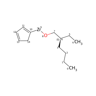 CCCC[C@H](CC)C[O][Zr][C]1=CC=CC1